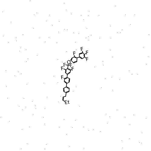 CC/C=C\Cc1ccc(-c2ccc(-c3cc(F)c(C(F)(F)Oc4ccc(-c5cc(F)c(F)c(F)c5)c(F)c4)c(F)c3)c(F)c2)cc1